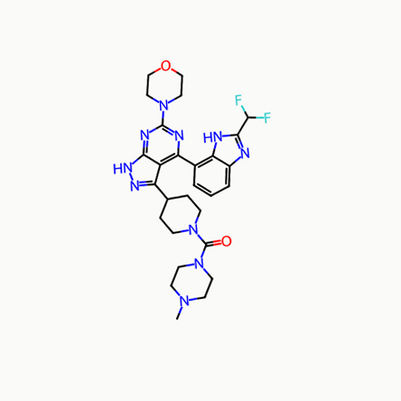 CN1CCN(C(=O)N2CCC(c3n[nH]c4nc(N5CCOCC5)nc(-c5cccc6nc(C(F)F)[nH]c56)c34)CC2)CC1